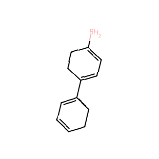 BC1=CC=C(C2=CC=CCC2)CC1